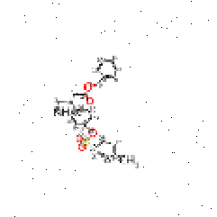 CC(=O)NCC(CC(=O)OCc1ccccc1)c1ccc(OS(=O)(=O)c2ccc(C)cc2)cc1